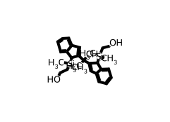 CC(C)(C1=Cc2ccccc2C1[Si](C)(C)CCO)C1=Cc2ccccc2C1[Si](C)(C)CCO